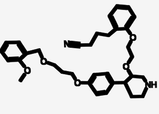 COc1ccccc1COCCCOc1ccc(C2CCNCC2OCCOc2ccccc2CCCC#N)cc1